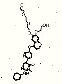 Cn1c(Nc2ccccc2)ncc(-c2ccc(Oc3ccnc4cc(OCCO)c(OCCOCCOCCO)cc34)cn2)c1=O